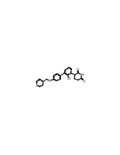 O=C1CCC(c2cccc(-c3ccc(OCc4ccncc4)cc3)c2Cl)C(=O)N1